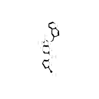 C#Cc1cccc(Nc2cnc3c(n2)N(Cc2ccc4ncccc4c2)NN3)n1